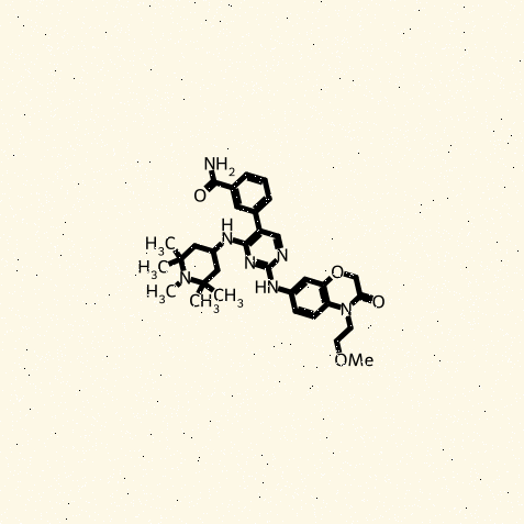 COCCN1C(=O)COc2cc(Nc3ncc(-c4cccc(C(N)=O)c4)c(NC4CC(C)(C)N(C)C(C)(C)C4)n3)ccc21